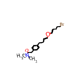 CN(C)C(=O)Cc1ccc(CCCCOCCCCCBr)cc1